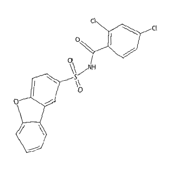 O=C(NS(=O)(=O)c1ccc2oc3ccccc3c2c1)c1ccc(Cl)cc1Cl